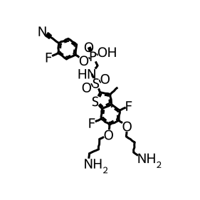 Cc1c(S(=O)(=O)NCP(=O)(O)Oc2ccc(C#N)c(F)c2)sc2c(F)c(OCCCN)c(OCCCN)c(F)c12